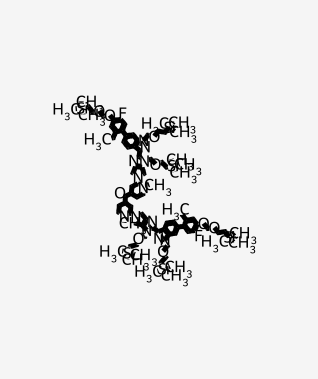 CCc1cc(OCOCC[Si](C)(C)C)c(F)cc1-c1ccc2c(-c3nc4c(n3COCC[Si](C)(C)C)CN(C3CC(C(=O)C5CCN(C)C(N6Cc7nc(-c8nn(COCC[Si](C)(C)C)c9cc(-c%10cc(F)c(OCOCC[Si](C)(C)C)cc%10CC)ccc89)n(COCC[Si](C)(C)C)c7C6)C5)CCN3C)C4)nn(COCC[Si](C)(C)C)c2c1